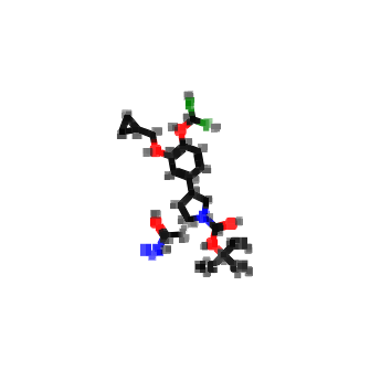 CC(C)(C)OC(=O)N1CC(c2ccc(OC(F)F)c(OCC3CC3)c2)C[C@H]1CC(N)=O